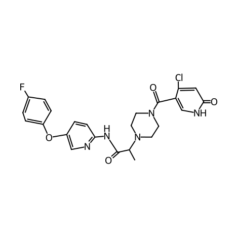 CC(C(=O)Nc1ccc(Oc2ccc(F)cc2)cn1)N1CCN(C(=O)c2c[nH]c(=O)cc2Cl)CC1